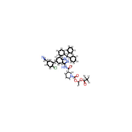 CC(OC(=O)N1CCC[C@@H](C(=O)Nc2nn(C(c3ccccc3)(c3ccccc3)c3ccccc3)c3ccc(-c4cc(C#N)ccc4Cl)cc23)C1)OC(=O)C(C)(C)C